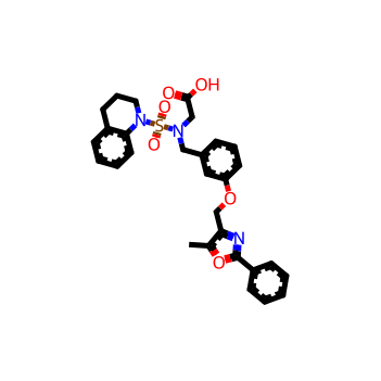 Cc1oc(-c2ccccc2)nc1COc1cccc(CN(CC(=O)O)S(=O)(=O)N2CCCc3ccccc32)c1